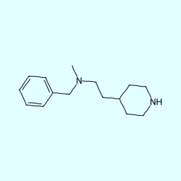 CN(CCC1CCNCC1)Cc1ccccc1